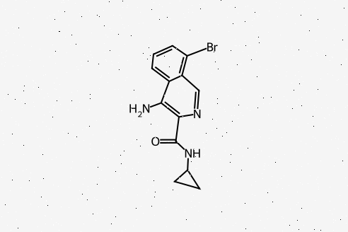 Nc1c(C(=O)NC2CC2)ncc2c(Br)cccc12